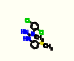 CSc1cccc(NC(=N)N(C)c2cc(Cl)ccc2Cl)c1